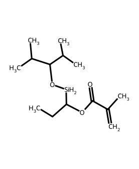 C=C(C)C(=O)OC(CC)[SiH2]OC(C(C)C)C(C)C